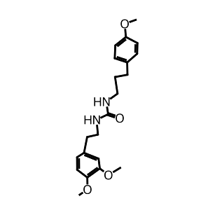 COc1ccc(CCCNC(=O)NCCc2ccc(OC)c(OC)c2)cc1